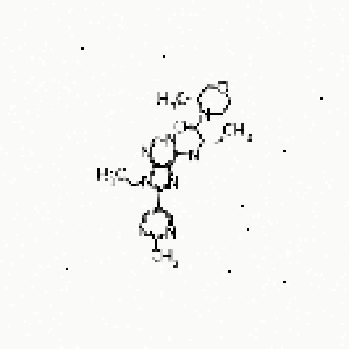 CC[C@H](Nc1ncnc2c1nc(-c1cnc(C)nc1)n2CC)C(=O)N1CCOC[C@H]1C